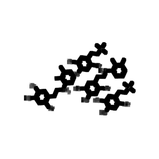 CC(C)c1cc(CC[Si](C)(C)C)c(C(C)C)cc1O.CCCc1cc(CC[SiH2]c2cccc(C)c2C)c(CCC)cc1O.CCCc1cc(CC[Si](C)(C)C)c(CCC)cc1O.Cc1cccc([SiH2]CCc2cc(C(C)C)c(O)cc2C(C)C)c1C